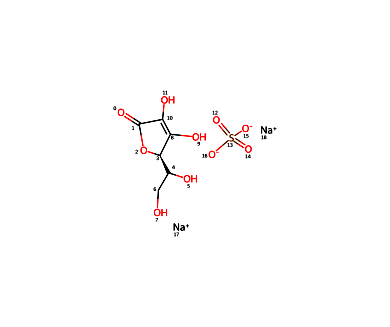 O=C1O[C@H](C(O)CO)C(O)=C1O.O=S(=O)([O-])[O-].[Na+].[Na+]